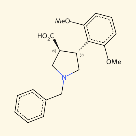 COc1cccc(OC)c1[C@@H]1CN(Cc2ccccc2)C[C@H]1C(=O)O